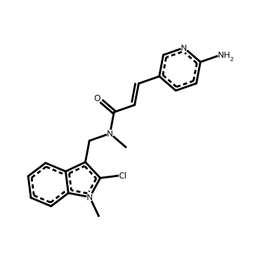 CN(Cc1c(Cl)n(C)c2ccccc12)C(=O)C=Cc1ccc(N)nc1